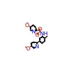 COc1ccc(-c2ccc(C)c(NS(=O)(=O)c3ccc(OC)cn3)c2)nc1